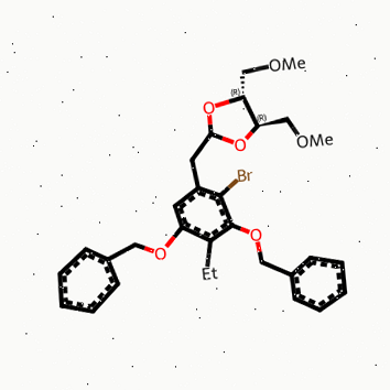 CCc1c(OCc2ccccc2)cc(CC2O[C@H](COC)[C@@H](COC)O2)c(Br)c1OCc1ccccc1